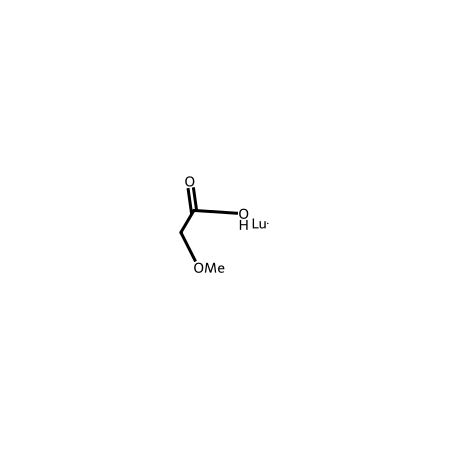 COCC(=O)O.[Lu]